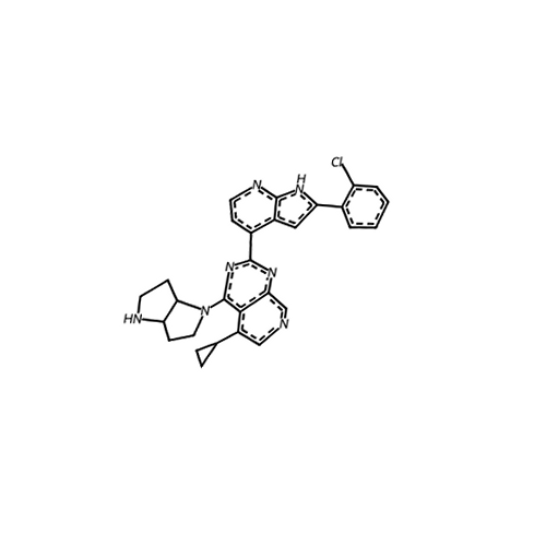 Clc1ccccc1-c1cc2c(-c3nc(N4CCC5NCCC54)c4c(C5CC5)cncc4n3)ccnc2[nH]1